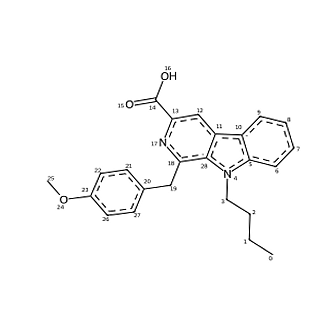 CCCCn1c2ccccc2c2cc(C(=O)O)nc(Cc3ccc(OC)cc3)c21